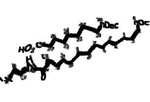 CCCCCCCC/C=C\CCCCCCCCCCCC(=O)NCCN.CCCCCCCCCCCCCCCCCC(=O)O